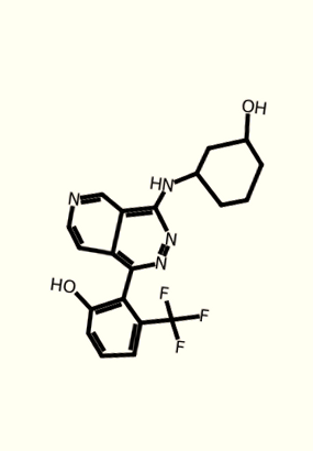 Oc1cccc(C(F)(F)F)c1-c1nnc(NC2CCCC(O)C2)c2cnccc12